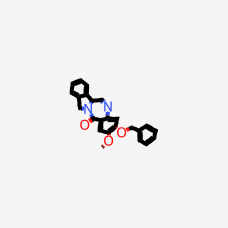 COc1cc2c(cc1OCc1ccccc1)N=CC1c3ccccc3CN1C2=O